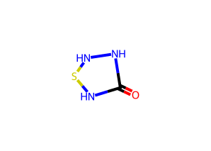 O=C1NNSN1